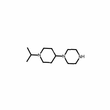 CC(C)N1CCC(N2CCNCC2)CC1